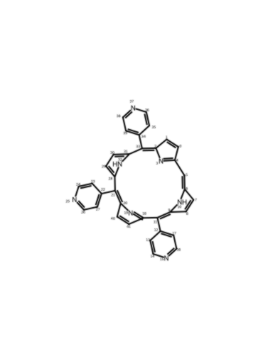 C1=Cc2nc1cc1ccc([nH]1)c(-c1ccncc1)c1nc(c(-c3ccncc3)c3ccc([nH]3)c2-c2ccncc2)C=C1